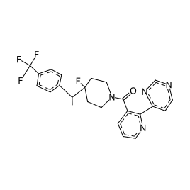 CC(c1ccc(C(F)(F)F)cc1)C1(F)CCN(C(=O)c2cccnc2-c2ccncn2)CC1